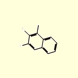 [CH]c1c(F)c(F)cc2ccccc12